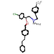 CCCCCN(Cc1ccc(C(=O)O)cc1)CC(OCc1ccc(CCc2ccccc2)cc1)c1ccc(Cl)cc1